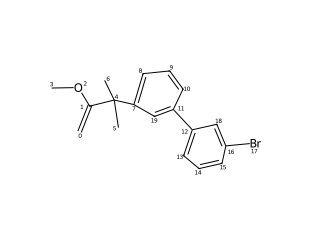 C=C(OC)C(C)(C)c1cccc(-c2cccc(Br)c2)c1